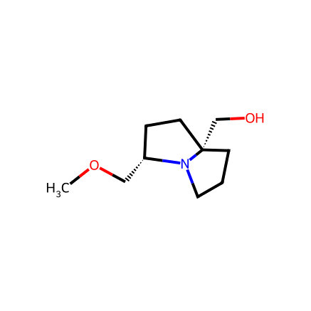 COC[C@@H]1CC[C@@]2(CO)CCCN12